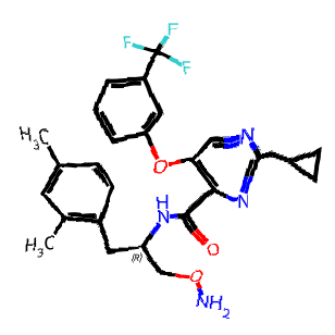 Cc1ccc(C[C@H](CON)NC(=O)c2nc(C3CC3)ncc2Oc2cccc(C(F)(F)F)c2)c(C)c1